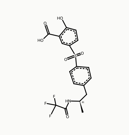 C[C@H](Cc1ccc(S(=O)(=O)c2ccc(O)c(C(=O)O)c2)cc1)NC(=O)C(F)(F)F